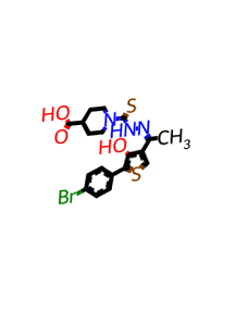 CC(=NNC(=S)N1CCC(C(=O)O)CC1)c1csc(-c2ccc(Br)cc2)c1O